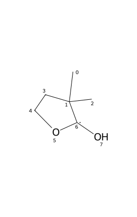 CC1(C)CCO[C]1O